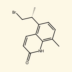 Cc1ccc([C@@H](C)CBr)c2ccc(=O)[nH]c12